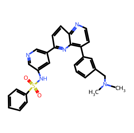 CN(C)Cc1cccc(-c2ccnc3ccc(-c4cncc(NS(=O)(=O)c5ccccc5)c4)nc23)c1